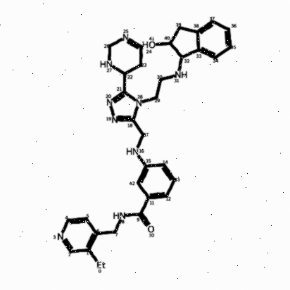 CCc1cnccc1CNC(=O)c1cccc(NCc2nnc(C3CC=NCN3)n2CCNC2c3ccccc3CC2O)c1